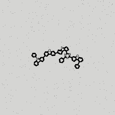 c1ccc(-c2nc(-c3ccc4c(c3)oc3cccc(-c5ccccc5)c34)nc(-c3cccc4sc5cc(-c6ccc7c(c6)oc6ccc(-c8ccc9c%10ccccc%10n(-c%10ccccc%10)c9c8)cc67)ccc5c34)n2)cc1